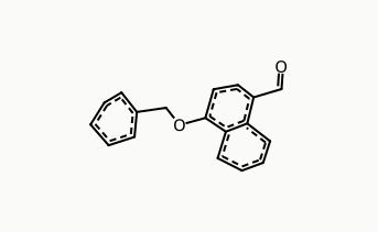 O=Cc1ccc(OCc2ccccc2)c2ccccc12